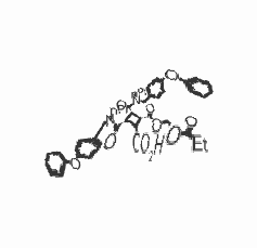 CCCN(Cc1ccc(Oc2ccccc2)cc1)C(=O)[C@@H]1[C@H](C(=O)O)[C@@H](C(=O)OCOC(=O)CC)[C@H]1C(=O)N(CCC)Cc1ccc(Oc2ccccc2)cc1